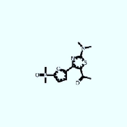 CC(=O)c1sc(N(C)C)nc1-c1ccc(P(C)(C)=O)o1